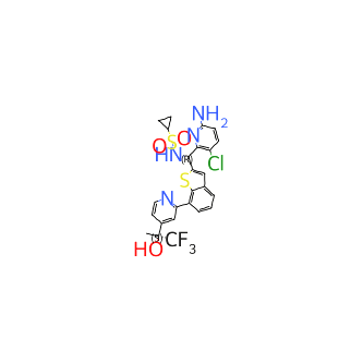 C[C@](O)(c1ccnc(-c2cccc3cc([C@H](NS(=O)(=O)C4CC4)c4nc(N)ccc4Cl)sc23)c1)C(F)(F)F